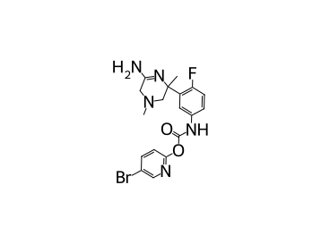 CN1CC(N)=NC(C)(c2cc(NC(=O)Oc3ccc(Br)cn3)ccc2F)C1